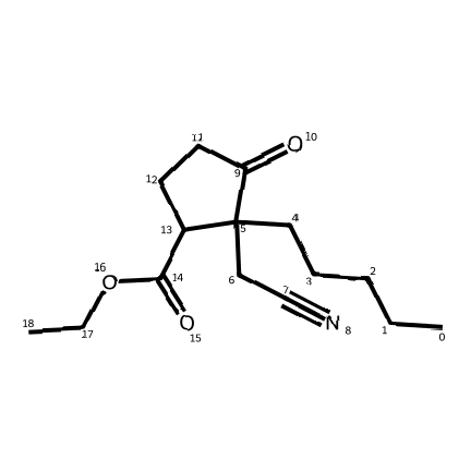 CCCCCC1(CC#N)C(=O)CCC1C(=O)OCC